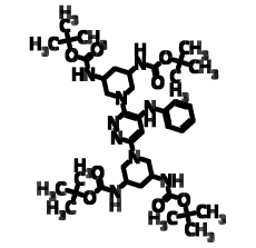 CC(C)(C)OC(=O)NC1CC(NC(=O)OC(C)(C)C)CN(c2cc(Nc3ccccc3)c(N3CC(NC(=O)OC(C)(C)C)CC(NC(=O)OC(C)(C)C)C3)nn2)C1